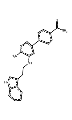 NC(=O)c1ccc(-c2cnc(N)c(NCCc3c[nH]c4ccccc34)n2)cc1